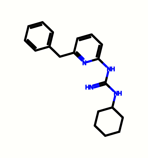 N=C(Nc1cccc(Cc2ccccc2)n1)NC1CCCCC1